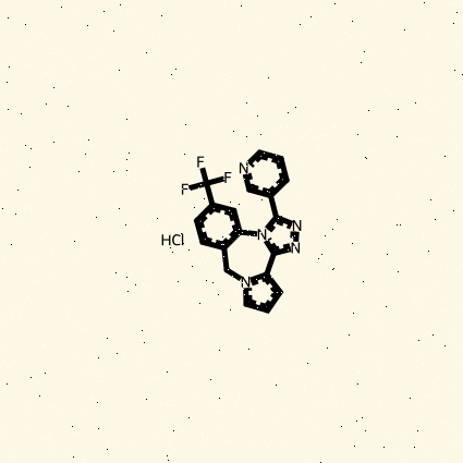 Cl.FC(F)(F)c1ccc2c(c1)-n1c(-c3cccnc3)nnc1-c1cccn1C2